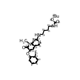 Cn1c(=O)c(Oc2ccccc2F)cc2cnc(NCCCCNC(=O)OC(C)(C)C)nc21